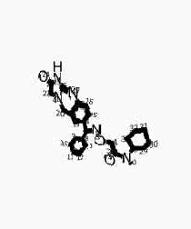 CN(C(=O)CON=C(c1ccccc1)c1ccc2c(c1)CN1CC(=O)NC1=N2)C1CCCCC1